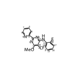 COc1nc(-c2ccccn2)nc(Nc2ccccc2F)c1C(F)(F)F